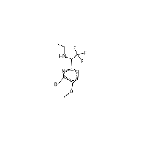 CCNC(c1ccc(OC)c(Br)n1)C(F)(F)F